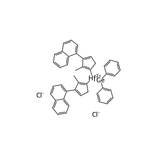 CC1=[C]([Hf+2]([C]2=C(C)C(c3cccc4ccccc34)=CC2)=[Ge]([c]2ccccc2)[c]2ccccc2)CC=C1c1cccc2ccccc12.[Cl-].[Cl-]